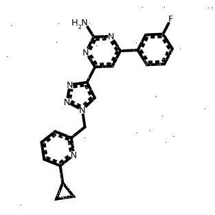 Nc1nc(-c2cccc(F)c2)cc(-c2cn(Cc3cccc(C4CC4)n3)nn2)n1